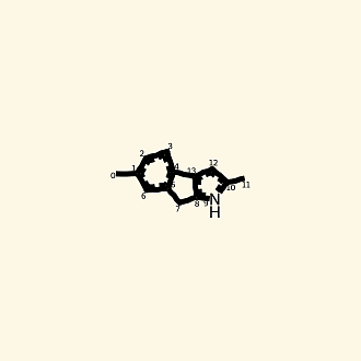 Cc1ccc2c(c1)Cc1[nH]c(C)cc1-2